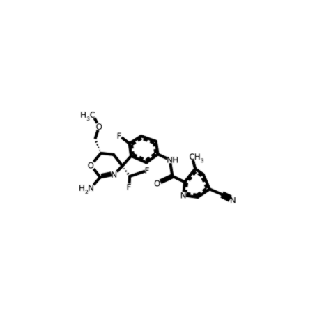 COC[C@@H]1C[C@](c2cc(NC(=O)c3ncc(C#N)cc3C)ccc2F)(C(F)F)N=C(N)O1